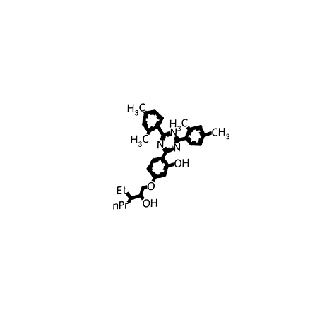 CCCC(CC)C(O)COc1ccc(-c2nc(-c3ccc(C)cc3C)nc(-c3ccc(C)cc3C)n2)c(O)c1